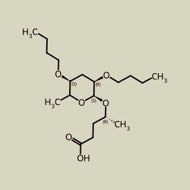 CCCCO[C@H]1C[C@@H](OCCCC)[C@@H](O[C@H](C)CCC(=O)O)OC1C